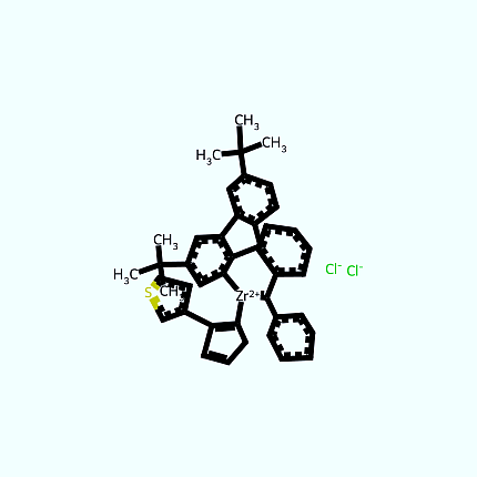 CC(C)(C)c1ccc2c(c1)-c1cc(C(C)(C)C)c[c]([Zr+2]([C]3=C(c4ccsc4)C=CC3)=[C](c3ccccc3)c3ccccc3)c1C2.[Cl-].[Cl-]